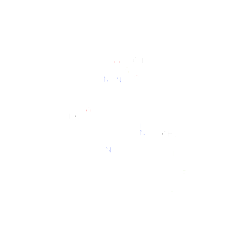 COc1cc2nccc(NC(C)c3cccc(C(F)F)c3F)c2cc1-c1cnn(S(C)(=O)=O)c1